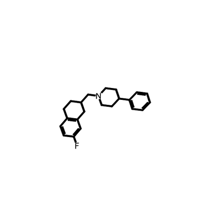 Fc1ccc2c(c1)CC(CN1CCC(c3ccccc3)CC1)CC2